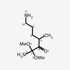 COC([SiH3])(OC)C(=O)C(C)CCCN